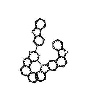 c1ccc2c(c1)ccc1sc3nc(-c4ccc5c(c4)sc4ccccc45)nc(-n4c5ccccc5c5cc6ccc7oc8ccccc8c7c6cc54)c3c12